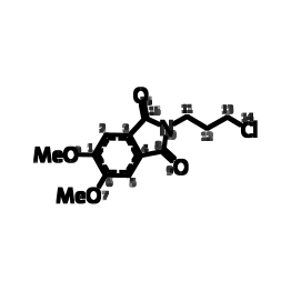 COc1cc2c(cc1OC)C(=O)N(CCCCl)C2=O